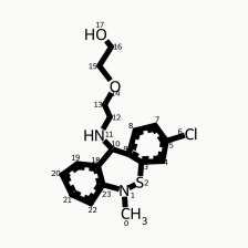 CN1Sc2cc(Cl)ccc2C(NCCOCCO)c2ccccc21